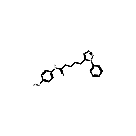 COc1ccc(NC(=O)CCCCc2nnnn2-c2ccccc2)cc1